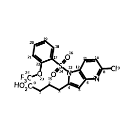 O=C(O)CCCc1cc2nc(Cl)ccc2n1S(=O)(=O)c1ccccc1OC(F)(F)F